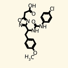 COc1ccc(CC(NC(=O)Nc2ccc(Cl)cc2)c2noc(CC(=O)O)n2)cc1